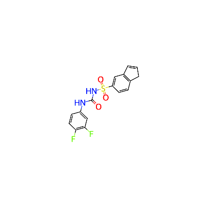 O=C(Nc1ccc(F)c(F)c1)NS(=O)(=O)c1ccc2c(c1)C=CC2